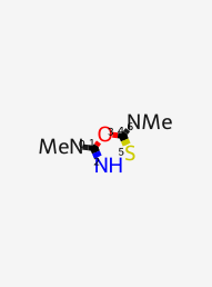 CNC(=N)OC(=S)NC